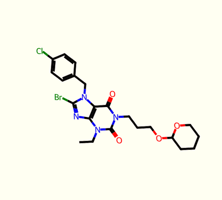 CCn1c(=O)n(CCCOC2CCCCO2)c(=O)c2c1nc(Br)n2Cc1ccc(Cl)cc1